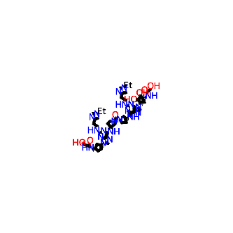 CCn1cnc(CCNc2nc(N[C@@H]3CCN(C(=O)N4CC[C@@H](Nc5nc(NCCc6cn(CC)cn6)nc6c5ncn6[C@@H]5C[C@H](NC(=O)CO)[C@@H](O)[C@H]5O)C4)C3)c3ncn([C@H]4CC[C@@H](NC(=O)CO)C4)c3n2)c1